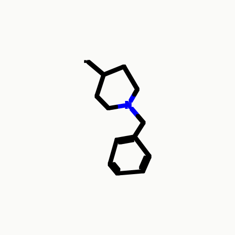 [CH2]C1CCN(Cc2ccccc2)CC1